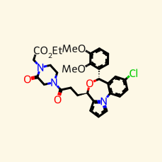 CCOC(=O)CN1CCN(C(=O)CC[C@H]2O[C@H](c3cccc(OC)c3OC)c3cc(Cl)ccc3-n3cccc32)CC1=O